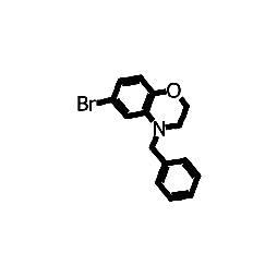 Brc1ccc2c(c1)N(Cc1ccccc1)CCO2